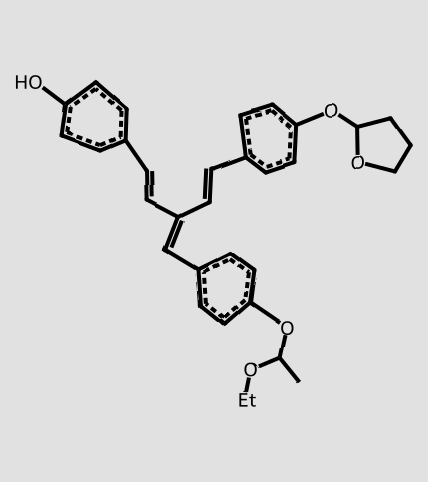 CCOC(C)Oc1ccc(C=C(C=Cc2ccc(O)cc2)C=Cc2ccc(OC3CCCO3)cc2)cc1